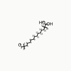 CC(C)(C=O)CCCCCCCCCCCC(C)(C)C(O)O